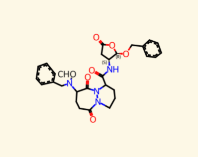 O=CN(Cc1ccccc1)C1CCC(=O)N2CCCC(C(=O)N[C@H]3CC(=O)O[C@H]3OCc3ccccc3)N2C1=O